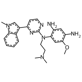 COc1cc(N(CCN(C)C)c2nccc(-c3cn(C)c4ccccc34)n2)c(N)cc1N